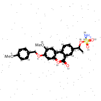 COc1ccc(COc2cc3oc(=O)c4cc(C(C)OS(N)(=O)=O)ccc4c3cc2OC)cc1